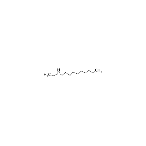 CCCCCCCCCCPCC